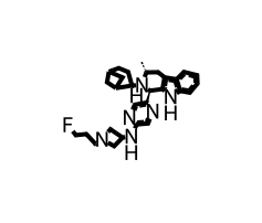 C[C@@H]1Cc2c([nH]c3ccccc23)[C@@H](c2cnc(NC3CN(CCCF)C3)cn2)N1[C@@H]1CCC2CC1C2